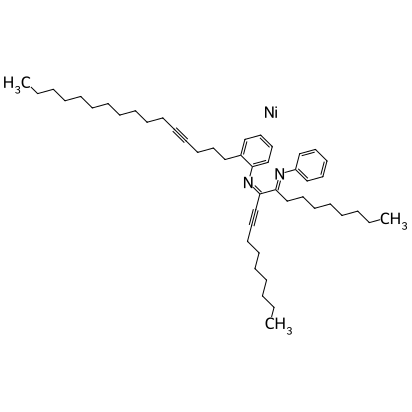 CCCCCCCC#CC(=Nc1ccccc1CCCC#CCCCCCCCCCCC)C(CCCCCCCC)=Nc1ccccc1.[Ni]